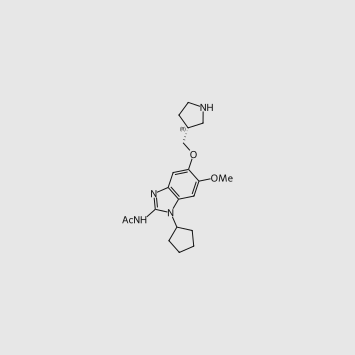 COc1cc2c(cc1OC[C@@H]1CCNC1)nc(NC(C)=O)n2C1CCCC1